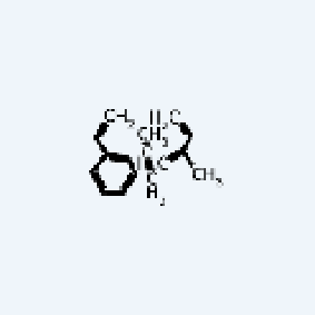 C=C=C.C=CC(=C)C.C=Cc1ccccc1